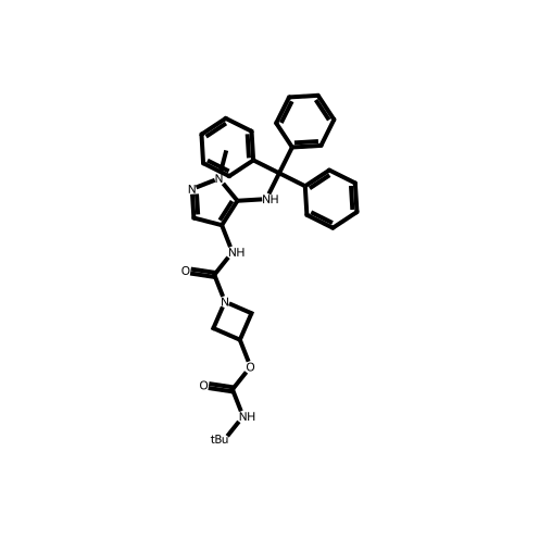 Cn1ncc(NC(=O)N2CC(OC(=O)NC(C)(C)C)C2)c1NC(c1ccccc1)(c1ccccc1)c1ccccc1